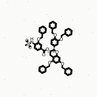 CS(=O)(=O)Nc1ccc(C(=O)O[C@H]2Cc3c(OCc4ccccc4)cc(OCc4ccccc4)cc3O[C@@H]2c2ccc(OCc3ccccc3)c(OCc3ccccc3)c2)cc1OCc1ccccc1